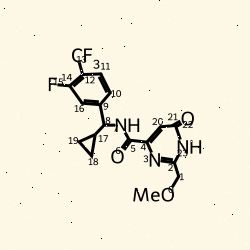 COCc1nc(C(=O)NC(c2ccc(C(F)(F)F)c(F)c2)C2CC2)cc(=O)[nH]1